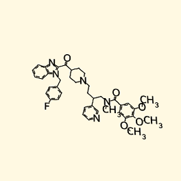 COc1cc(C(=O)N(C)CC(CCN2CCC(C(=O)c3nc4ccccc4n3Cc3ccc(F)cc3)CC2)c2cccnc2)cc(OC)c1OC